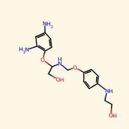 Nc1ccc(OC(CO)NCOc2ccc(NCCO)cc2)c(N)c1